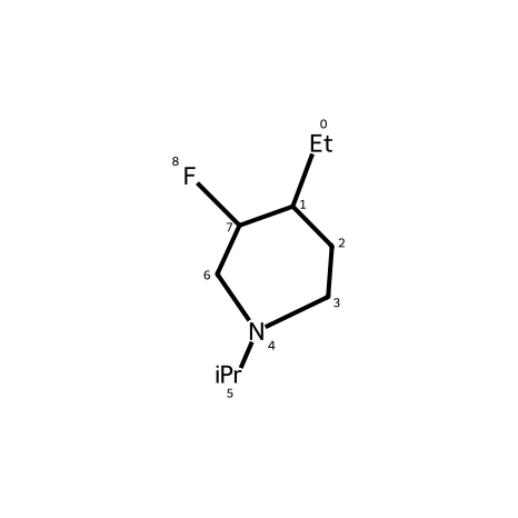 CCC1CCN(C(C)C)CC1F